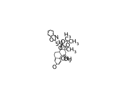 CC1(C)O[C@@H]2CC3C4CCC5=CC(=O)C=CC5(C)C4[C@@H](O)CC3(C)[C@]2(C(=O)CSc2nc3ccccc3o2)O1